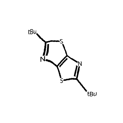 CC(C)(C)c1nc2sc(C(C)(C)C)nc2s1